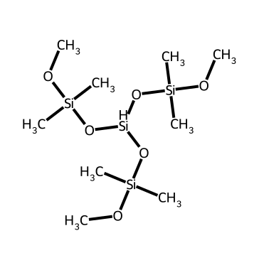 CO[Si](C)(C)O[SiH](O[Si](C)(C)OC)O[Si](C)(C)OC